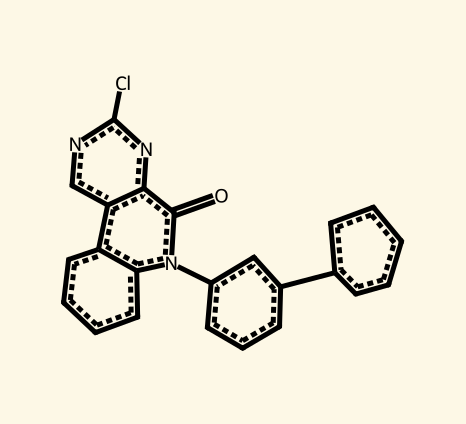 O=c1c2nc(Cl)ncc2c2ccccc2n1-c1cccc(-c2ccccc2)c1